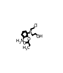 CCC(=O)Oc1c(N)cccc1N(CCO)CCCl